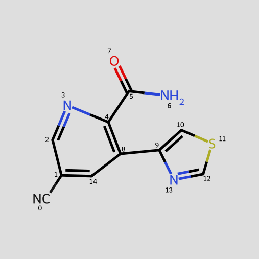 N#Cc1cnc(C(N)=O)c(-c2cscn2)c1